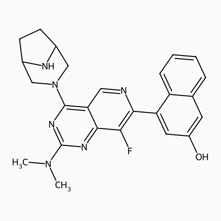 CN(C)c1nc(N2CC3CCC(C2)N3)c2cnc(-c3cc(O)cc4ccccc34)c(F)c2n1